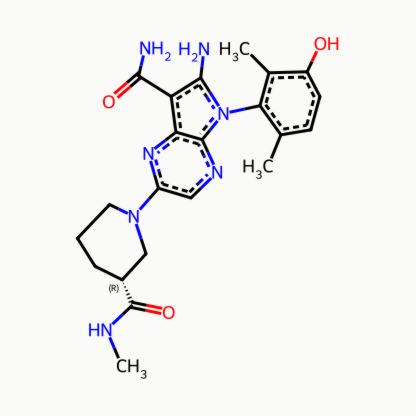 CNC(=O)[C@@H]1CCCN(c2cnc3c(n2)c(C(N)=O)c(N)n3-c2c(C)ccc(O)c2C)C1